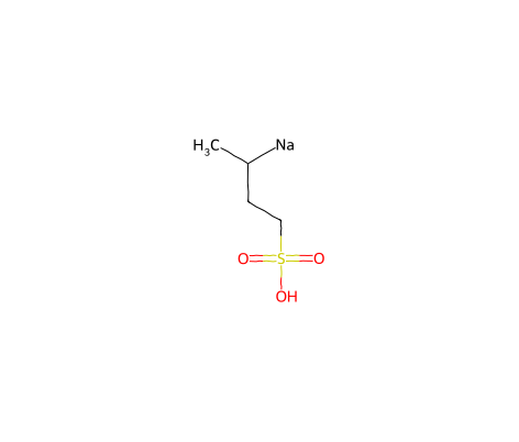 C[CH]([Na])CCS(=O)(=O)O